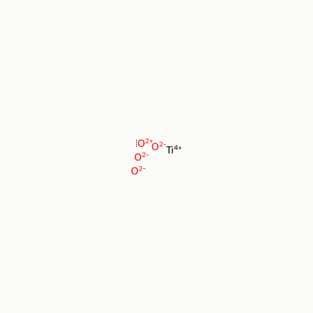 [O+2].[O-2].[O-2].[O-2].[Ti+4]